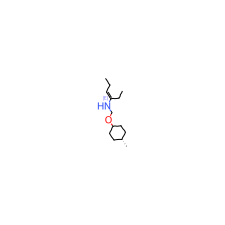 CC/C=C(\CC)NCO[C@H]1CC[C@H](C)CC1